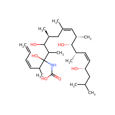 C=C/C=C\C(C)C(O)(NC(=O)O)C(C)C(O)[C@@H](C)C/C(C)=C\[C@H](C)[C@@H](O)[C@@H](C)/C=C\[C@@H](O)CC(C)C